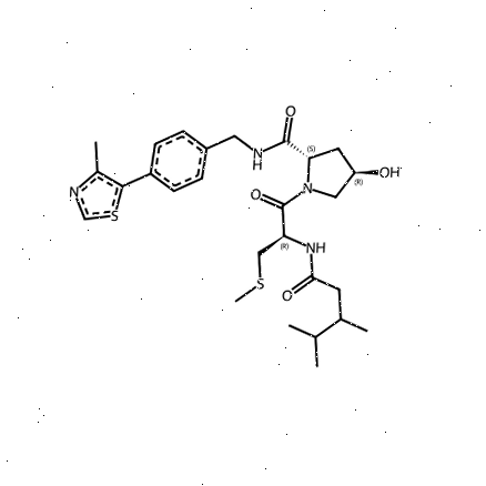 CSC[C@H](NC(=O)CC(C)C(C)C)C(=O)N1C[C@H](O)C[C@H]1C(=O)NCc1ccc(-c2scnc2C)cc1